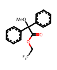 COC(C(=O)OCC(F)(F)F)(c1ccccc1)c1ccccc1